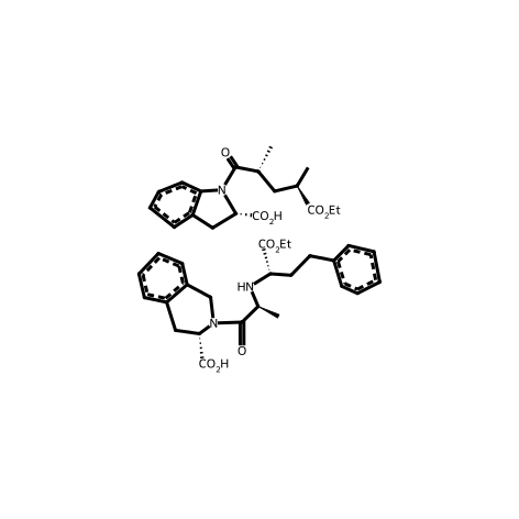 CCOC(=O)[C@H](C)C[C@@H](C)C(=O)N1c2ccccc2C[C@H]1C(=O)O.CCOC(=O)[C@H](CCc1ccccc1)N[C@@H](C)C(=O)N1Cc2ccccc2C[C@H]1C(=O)O